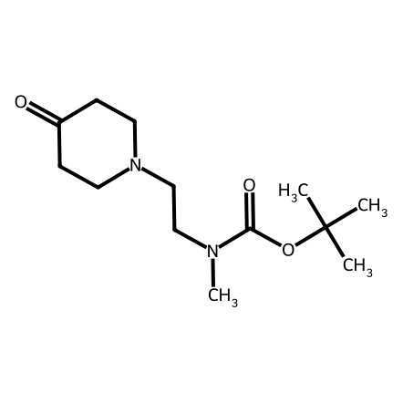 CN(CCN1CCC(=O)CC1)C(=O)OC(C)(C)C